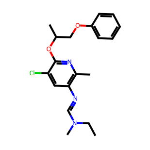 CCN(C)/C=N/c1cc(Cl)c(OC(C)COc2ccccc2)nc1C